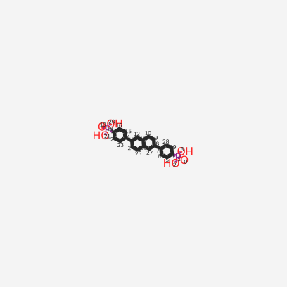 O=P(O)(O)c1ccc(-c2ccc3cc(-c4ccc(P(=O)(O)O)cc4)ccc3c2)cc1